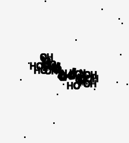 Cc1cc(-c2cccc(-c3ccc(O[C@H]4O[C@H](CO)[C@@H](O)[C@H](O)[C@]4(N)O)c(C)c3)n2)ccc1O[C@H]1O[C@H](CO)[C@@H](O)[C@H](O)[C@]1(C)O